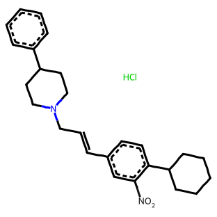 Cl.O=[N+]([O-])c1cc(C=CCN2CCC(c3ccccc3)CC2)ccc1C1CCCCC1